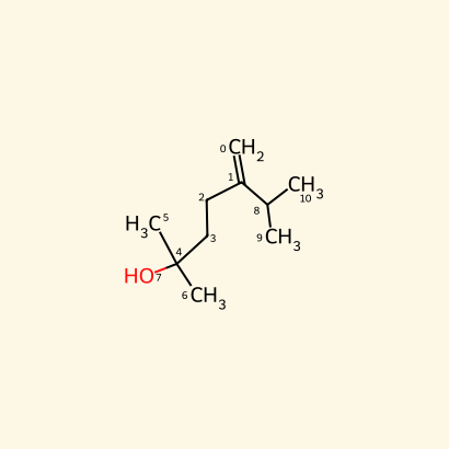 C=C(CCC(C)(C)O)C(C)C